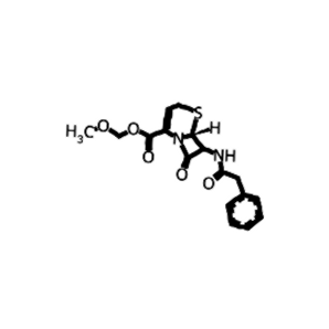 COCOC(=O)C1=CCS[C@@H]2C(NC(=O)Cc3ccccc3)C(=O)N12